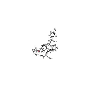 C#Cc1ccc(CN2C3CC2CN(c2ccc(-c4cc(-c5cnn(C)c5)cn5ncc(C#N)c45)cn2)C3)cc1OC